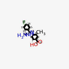 Cc1cc(C(=O)O)ccc1/N=C(\NN)c1ccc(F)cc1